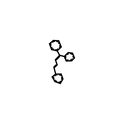 C(=Cc1ccccc1)C=C(c1ccccc1)c1ccccc1